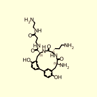 NCCC[C@@H]1NC(=O)[C@@H](N)Cc2cc(ccc2O)-c2ccc(O)c(c2)C[C@@H](C(=O)NCCC(=O)NCCN)NC1=O